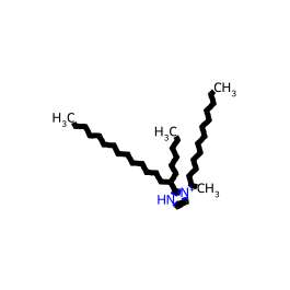 CCCCCCCCCCCCCCC(CCCCCC)c1[nH]cc[n+]1C(C)CCCCCCCCCCCC